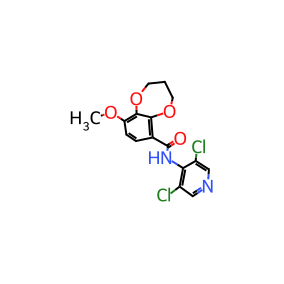 COc1ccc(C(=O)Nc2c(Cl)cncc2Cl)c2c1OCCCO2